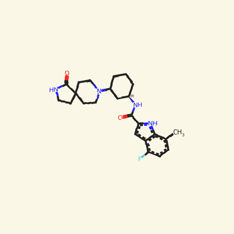 Cc1ccc(F)c2cc(C(=O)N[C@@H]3CCCC(N4CCC5(CCNC5=O)CC4)C3)[nH]c12